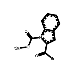 CC(C)(C)OC(=O)n1c(C(=O)Br)cc2ccccc21